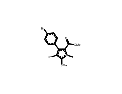 COC(=O)c1c(-c2ccc(Br)cc2)c(C#N)c(SC)n1C